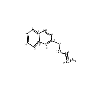 C=NOCc1cnc2ccccc2n1